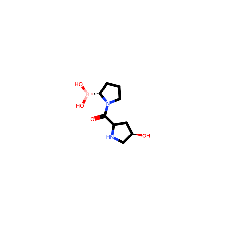 O=C(C1C[C@@H](O)CN1)N1CCC[C@H]1B(O)O